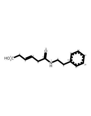 O=C(O)CC=CCC(=O)NCCc1ccccc1